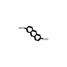 COc1ccc2cc3cc(C=O)ccc3cc2c1